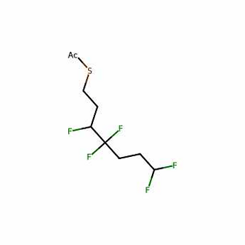 CC(=O)SCCC(F)C(F)(F)CCC(F)F